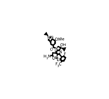 CCOc1c(CC(N)=O)cc([C@@](O)(CNC(=O)c2cc(OC)c3nn(C4CC4)cc3c2)C2CC2)nc1-c1cc(C(F)(F)F)ccc1F